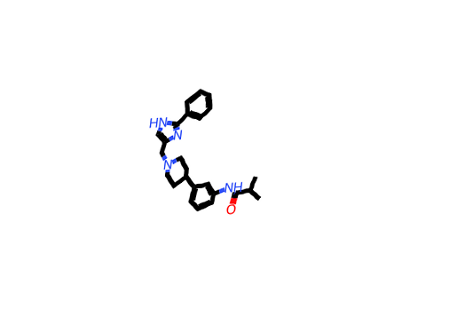 CC(C)C(=O)Nc1cccc(C2CCN(Cc3c[nH]c(-c4ccccc4)n3)CC2)c1